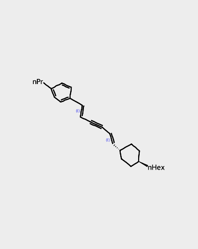 CCCCCC[C@H]1CC[C@H](/C=C/C#C/C=C/c2ccc(CCC)cc2)CC1